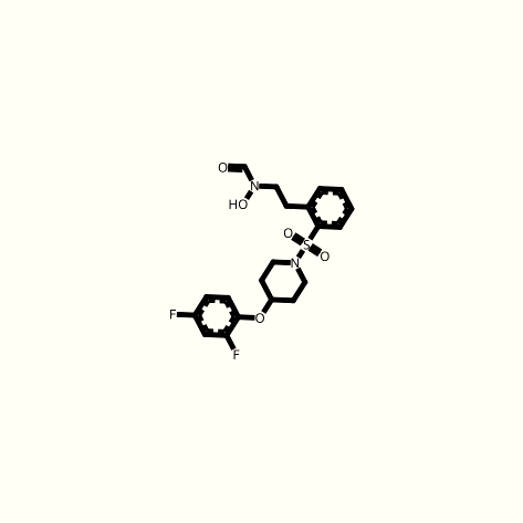 O=CN(O)CCc1ccccc1S(=O)(=O)N1CCC(Oc2ccc(F)cc2F)CC1